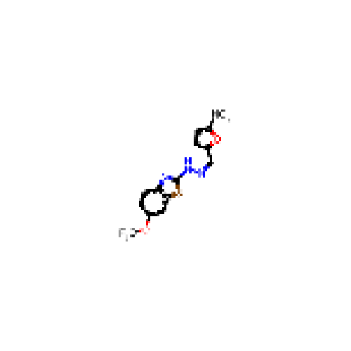 O=[N+]([O-])c1ccc(/C=N\Nc2nc3ccc(OC(F)(F)F)cc3s2)o1